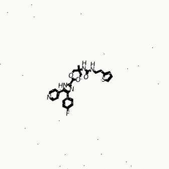 CC1(NC(=O)NCCc2cccs2)COC(c2nc(-c3ccc(F)cc3)c(-c3ccncc3)[nH]2)OC1